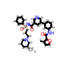 Cc1ccoc1C(=O)Nc1cccc(-c2cncc(C(=O)N=[S@](=O)(CCCN3CCCC(C(F)(F)F)C3)c3ccccc3)c2)c1